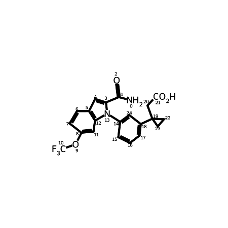 NC(=O)c1cc2ccc(OC(F)(F)F)cc2n1-c1cccc(C2(CC(=O)O)CC2)c1